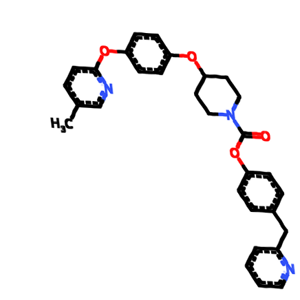 Cc1ccc(Oc2ccc(OC3CCN(C(=O)Oc4ccc(Cc5ccccn5)cc4)CC3)cc2)nc1